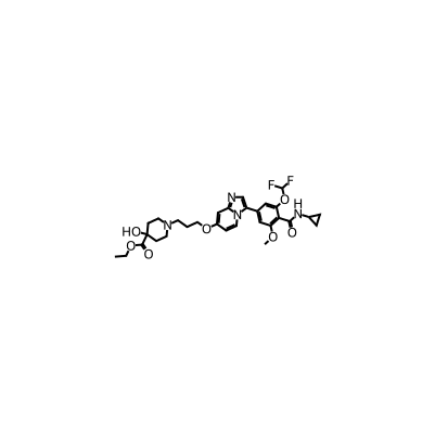 CCOC(=O)C1(O)CCN(CCCOc2ccn3c(-c4cc(OC)c(C(=O)NC5CC5)c(OC(F)F)c4)cnc3c2)CC1